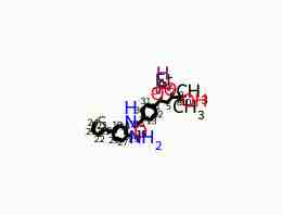 CC[PH](=O)OC(CCC(C)(C)O)c1ccc(C(=O)Nc2cc(-c3cccs3)ccc2N)cc1